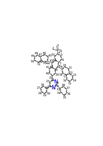 CC(C)(C)c1ccc2c(-c3ccc4ccccc4c3)c3cc(-c4cc(-c5ccccc5)nc(-c5ccccc5)n4)ccc3c(-c3ccc4ccccc4c3)c2c1